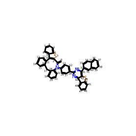 C=C1c2sc3ccccc3c2-c2ccccc2Cc2ccccc2N1c1ccc(-c2nc(-c3ccc4ccccc4c3)c3sc4ccccc4c3n2)cc1